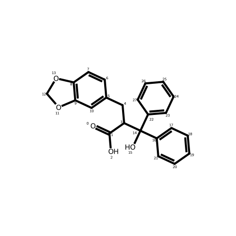 O=C(O)C(Cc1ccc2c(c1)OCO2)C(O)(c1ccccc1)c1ccccc1